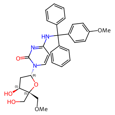 COC[C@]1(CO)O[C@@H](n2ccc(NC(c3ccccc3)(c3ccccc3)c3ccc(OC)cc3)nc2=O)C[C@@H]1O